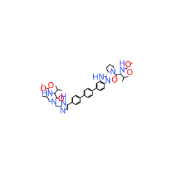 CCCN(Cc1ncc(-c2ccc(-c3ccc(-c4ccc5nc([C@@H]6CCCN6C(=O)[C@@H](NC(=O)OC)C(C)C)[nH]c5c4)cc3)cc2)[nH]1)C(=O)[C@@H](NC(=O)OC)C(C)C